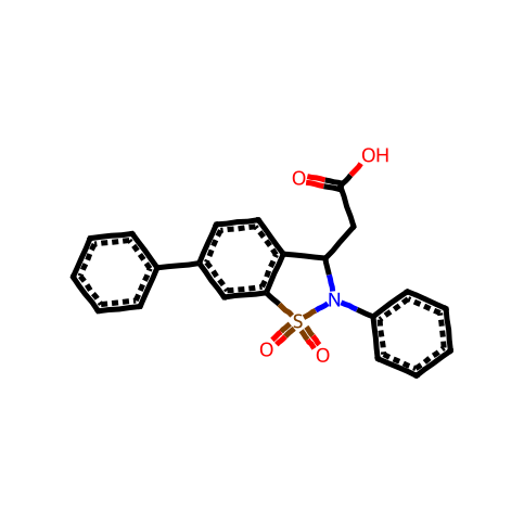 O=C(O)CC1c2ccc(-c3ccccc3)cc2S(=O)(=O)N1c1ccccc1